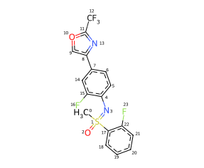 CS(=O)(=Nc1ccc(-c2coc(C(F)(F)F)n2)cc1F)c1ccccc1F